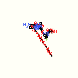 CCCOCCOCCOCCOCCOCCOCCOCCOCCOCCC(=O)N[C@H](Cc1ccccc1)C(=O)N[C@H](CCCCN)C(=O)NCC(=O)N1CCC[C@@H]1C(=O)Nc1ccc(COC(=O)N[C@H]2CCc3c(C)c(F)cc4nc5c(c2c34)Cn2c-5cc3c(c2=O)COC(=O)[C@]3(O)CC)cc1